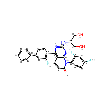 O=c1ccc2c(-c3ccc(-c4ccccc4)cc3F)nc(NC(CO)CO)nc2n1-c1ccc(F)cc1F